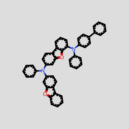 c1ccc(-c2ccc(N(c3ccccc3)c3cccc4c3oc3cc(N(c5ccccc5)c5ccc6c(c5)oc5ccccc56)ccc34)cc2)cc1